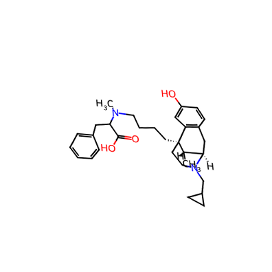 C[C@H]1[C@H]2Cc3ccc(O)cc3[C@]1(CCCCN(C)C(Cc1ccccc1)C(=O)O)CCN2CC1CC1